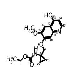 CCOC(=O)NC1(COc2cc3nccc(O)c3cc2OC)CC1